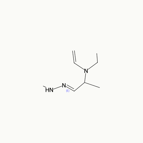 C=CN(CC)C(C)/C=N/NC